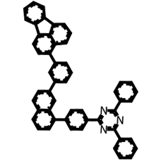 c1ccc(-c2nc(-c3ccccc3)nc(-c3ccc(-c4cccc5ccc(-c6cccc(-c7ccc8c9c(cccc79)-c7ccccc7-8)c6)cc45)cc3)n2)cc1